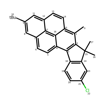 Cc1c2c(c3ccc4cc(C(C)(C)C)cc5ccc1c3c54)-c1ccc(Cl)cc1C2(C)C